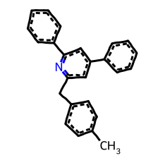 Cc1ccc(Cc2cc(-c3ccccc3)cc(-c3ccccc3)n2)cc1